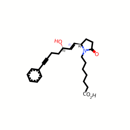 O=C(O)CCCCCCN1C(=O)CC[C@@H]1/C=C/[C@@H](O)CCC#Cc1ccccc1